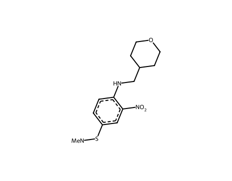 CNSc1ccc(NCC2CCOCC2)c([N+](=O)[O-])c1